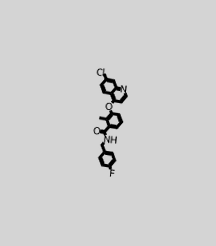 Cc1c(Oc2ccnc3cc(Cl)ccc23)cccc1C(=O)NCc1ccc(F)cc1